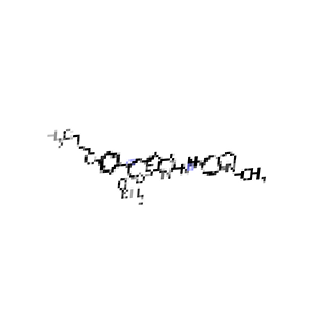 CCCCOc1ccc(/C(=C/c2cc3sc(/N=N/c4ccc5c(c4)CCN5CC)nc3s2)C(=O)OC)cc1